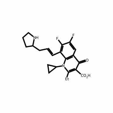 CCc1c(C(=O)O)c(=O)c2cc(F)c(F)c(C=CCC3CCCN3)c2n1C1CC1